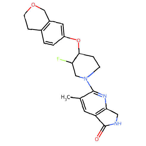 Cc1cc2c(nc1N1CCC(Oc3ccc4c(c3)COCC4)C(F)C1)CNC2=O